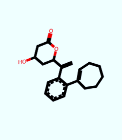 C=C(c1ccccc1C1=CCCCCC1)C1CC(O)CC(=O)O1